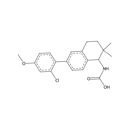 COc1ccc(-c2ccc3c(c2)CCC(C)(C)C3NC(=O)O)c(Cl)c1